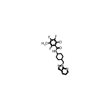 Cc1c(F)c(F)c(Cl)c(C(=O)NC2CCC(Cn3ncc4cccnc43)CC2)c1F